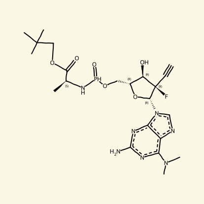 C#C[C@@]1(F)[C@H](O)[C@@H](CO[PH](=O)N[C@@H](C)C(=O)OCC(C)(C)C)O[C@H]1n1cnc2c(N(C)C)nc(N)nc21